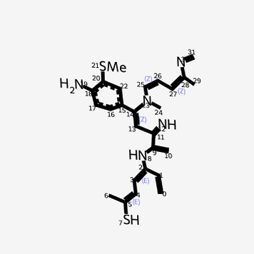 C=C/C(=C\C=C(/C)S)NC(=C)C(=N)/C=C(/c1ccc(N)c(SC)c1)N(C)/C=C\C=C(\C)N=C